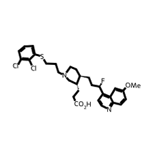 COc1ccc2nccc([C@H](F)CC[C@@H]3CCN(CCCSc4cccc(Cl)c4Cl)C[C@H]3CCC(=O)O)c2c1